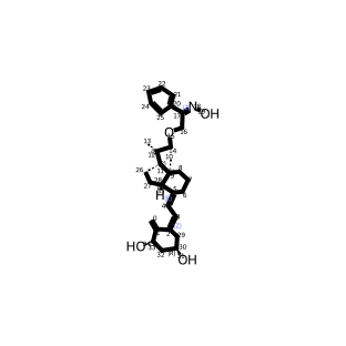 C=C1/C(=C\C=C2/CCC[C@]3(C)[C@@H]([C@H](C)COC/C(=N\O)c4ccccc4)CC[C@@H]23)C[C@@H](O)C[C@@H]1O